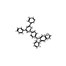 c1ccc(-c2cc(-c3ccccc3)nc(-c3ccc(-n4c5ccccc5c5cc6ccoc6cc54)cc3)n2)cc1